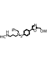 COCc1ncc(-c2ccc(SN(CCCNC=O)CC(C)C)cc2)o1